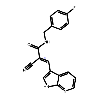 N#C/C(=C\c1c[nH]c2ncccc12)C(=O)NCc1ccc(F)cc1